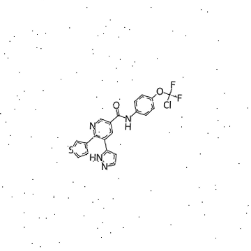 O=C(Nc1ccc(OC(F)(F)Cl)cc1)c1cnc(-c2ccsc2)c(-c2ccn[nH]2)c1